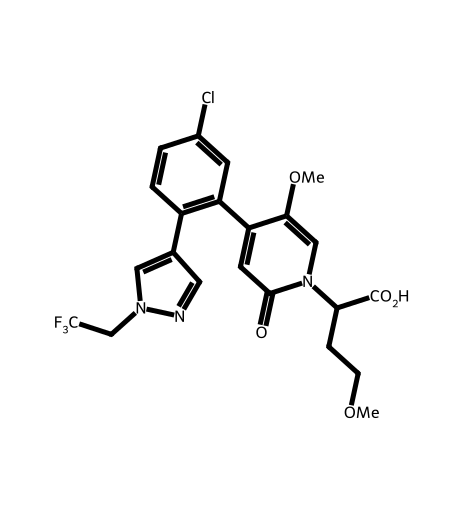 COCCC(C(=O)O)n1cc(OC)c(-c2cc(Cl)ccc2-c2cnn(CC(F)(F)F)c2)cc1=O